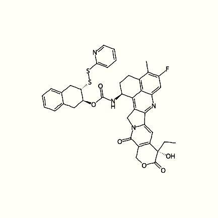 CC[C@@]1(O)C(=O)OCc2c1cc1n(c2=O)Cc2c-1nc1cc(F)c(C)c3c1c2[C@@H](NC(=O)O[C@H]1Cc2ccccc2C[C@@H]1SSc1ccccn1)CC3